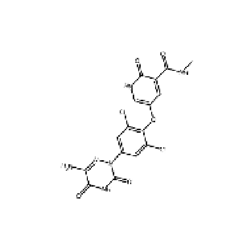 CNC(=O)c1cc(Oc2c(Cl)cc(-n3nc(N)c(=O)[nH]c3=O)cc2Cl)c[nH]c1=O